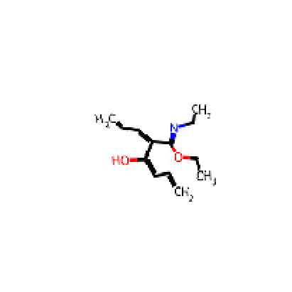 C=C\C=C(O)/C(=C\C=C)C(=N/CC)/OCC